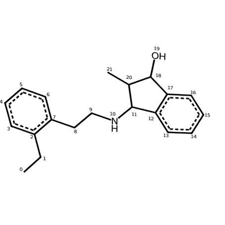 CCc1ccccc1CCNC1c2ccccc2C(O)C1C